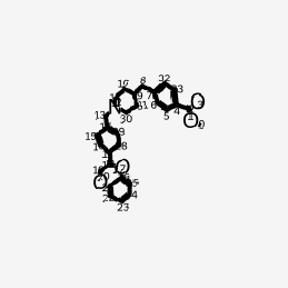 COC(=O)c1ccc(CC2CCN(Cc3ccc(C4COc5ccccc5O4)cc3)CC2)cc1